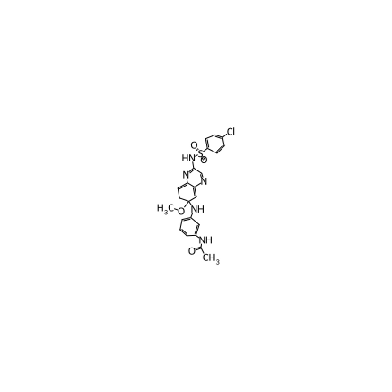 COC1(Nc2cccc(NC(C)=O)c2)C=c2ncc(NS(=O)(=O)c3ccc(Cl)cc3)nc2=CC1